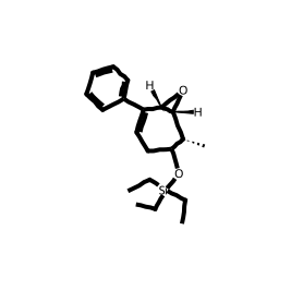 CC[Si](CC)(CC)OC1CC=C(c2ccccc2)[C@@H]2O[C@@H]2[C@@H]1C